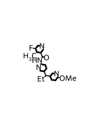 CCC(c1ccc(NC(=O)c2cncc(F)c2C)nc1)c1ccc(OC)nc1